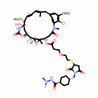 COc1cc2cc(c1Cl)N(C)C(=O)C[C@H](OC(=O)CCOCCSC1CC(=O)N(C[C@H]3CC[C@H](C(=O)NN(C)I)CC3)C1=O)C1(C)O[C@H]1[C@H](C)[C@@H]1C[C@@](O)(NC(=O)O1)[C@H](OC)/C=C/C=C(\C)C2